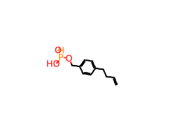 C=CCCc1ccc(CO[PH](=O)O)cc1